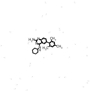 Cc1cc(C)c(-c2ccc3nc(N)nc(NC4CCCCC4)c3c2)c(C)c1